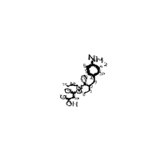 CCC(Cc1ccc(N)cc1)C(=O)N(CC)OC(=O)CC(=O)O